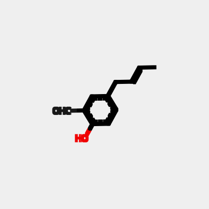 CC=CCc1ccc(O)c(C=O)c1